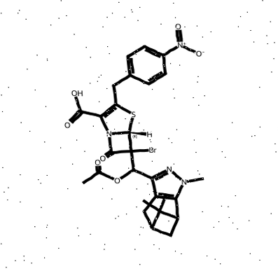 CC(=O)OC(c1nn(C)c2c1CC1CC2C1(C)C)C1(Br)C(=O)N2C(C(=O)O)=C(Cc3ccc([N+](=O)[O-])cc3)S[C@@H]21